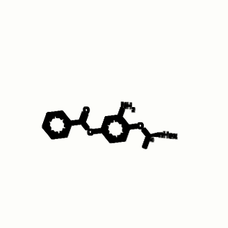 CCCCCC[C@@H](C)Oc1ccc(OC(=O)c2ccccc2)cc1N